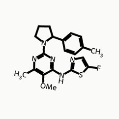 COc1c(C)nc(N2CCCC2c2ccc(C)cc2)nc1Nc1ncc(F)s1